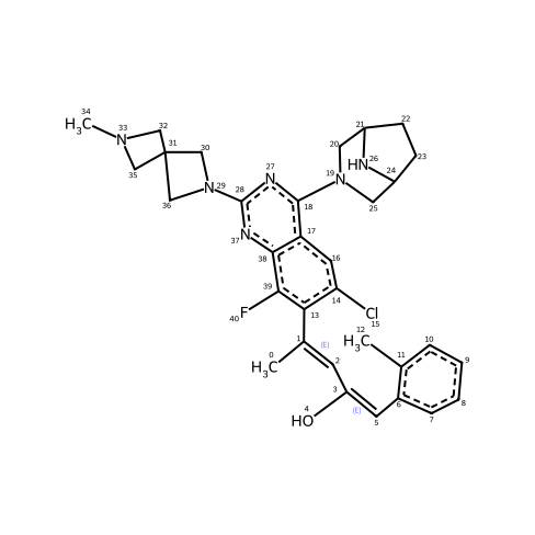 C/C(=C\C(O)=C/c1ccccc1C)c1c(Cl)cc2c(N3CC4CCC(C3)N4)nc(N3CC4(CN(C)C4)C3)nc2c1F